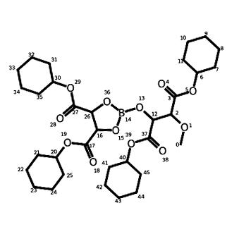 COC(C(=O)OC1CCCCC1)C(OB1OC(C(=O)OC2CCCCC2)C(C(=O)OC2CCCCC2)O1)C(=O)OC1CCCCC1